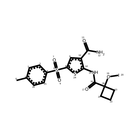 Cc1ccc(S(=O)(=O)c2cc(C(N)=O)c(NC(=O)C3(OI)CCC3)s2)cc1